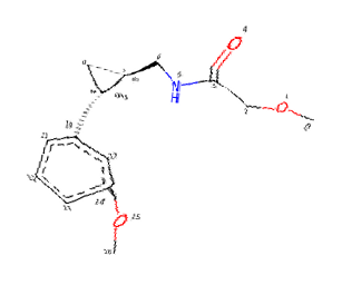 COCC(=O)NC[C@@H]1C[C@H]1c1cccc(OC)c1